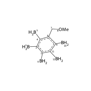 Bc1c(B)c(B)c(COC)c(B)c1B